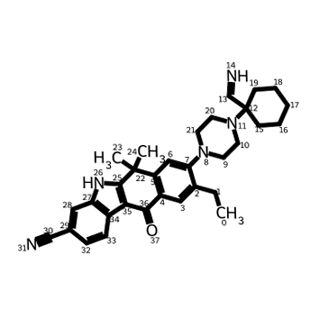 CCc1cc2c(cc1N1CCN(C3(C=N)CCCCC3)CC1)C(C)(C)c1[nH]c3cc(C#N)ccc3c1C2=O